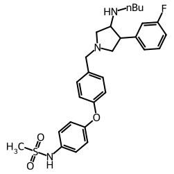 CCCCNC1CN(Cc2ccc(Oc3ccc(NS(C)(=O)=O)cc3)cc2)CC1c1cccc(F)c1